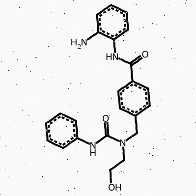 Nc1ccccc1NC(=O)c1ccc(CN(CCO)C(=O)Nc2ccccc2)cc1